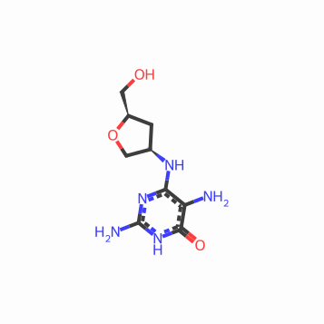 Nc1nc(N[C@H]2CO[C@@H](CO)C2)c(N)c(=O)[nH]1